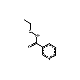 CCONC(=O)c1cccnc1